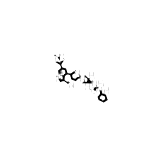 Cn1cc(-c2cc(-c3ccc(N4C[C@@H]5C(NC(=O)Nc6ccccc6)[C@@H]5C4)nc3)c3c(C#N)cnn3c2)cn1